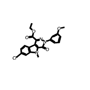 CCOC(=O)c1nn(-c2cccc(OC)c2)c(=O)c2c1c1ccc(Cl)cc1n2C